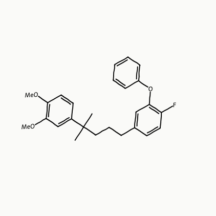 COc1ccc(C(C)(C)CCCc2ccc(F)c(Oc3ccccc3)c2)cc1OC